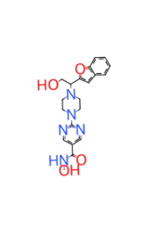 O=C(NO)c1cnc(N2CCN(C(CO)c3cc4ccccc4o3)CC2)nc1